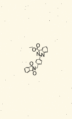 CCOC(=O)c1nc(-c2ccc(CN3C(=O)c4ccccc4C3=O)cc2)nc2ccccc12